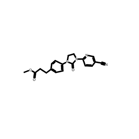 COC(=O)CCc1ccc(N2CCN(c3ccc(C#N)cn3)C2=O)cc1